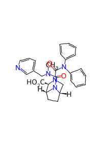 CN(Cc1cccnc1)C(=O)N1[C@H]2CC[C@@H]1[C@@H](C(=O)O)N(C(=O)N(c1ccccc1)c1ccccc1)C2